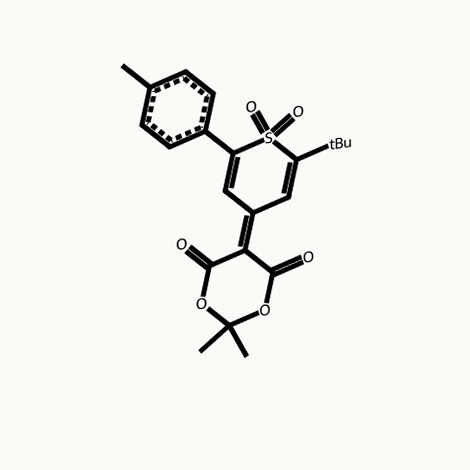 Cc1ccc(C2=CC(=C3C(=O)OC(C)(C)OC3=O)C=C(C(C)(C)C)S2(=O)=O)cc1